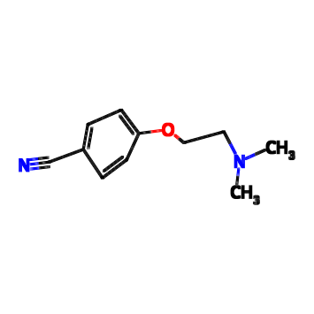 CN(C)CCOc1ccc(C#N)cc1